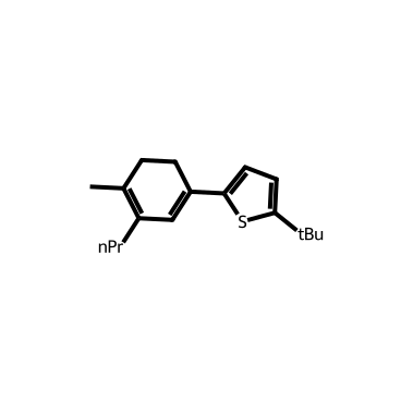 CCCC1=C(C)CCC(c2ccc(C(C)(C)C)s2)=C1